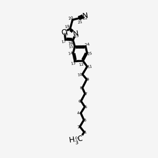 CCCCCCCCCCCCc1ccc(-c2coc(CC#N)n2)cc1